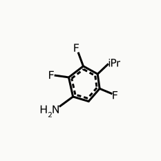 CC(C)c1c(F)cc(N)c(F)c1F